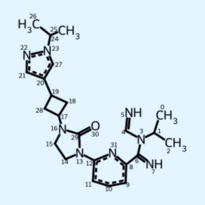 CC(C)N(C=N)C(=N)c1cccc(N2CCN(C3CC(c4cnn(C(C)C)c4)C3)C2=O)n1